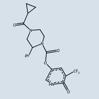 CC(C)C1CN(C(=O)C2CC2)CCN1C(=O)Oc1c[nH]c(=O)c(C(F)(F)F)c1